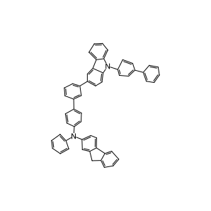 c1ccc(-c2ccc(-n3c4ccccc4c4cc(-c5cccc(-c6ccc(N(c7ccccc7)c7ccc8c(c7)Cc7ccccc7-8)cc6)c5)ccc43)cc2)cc1